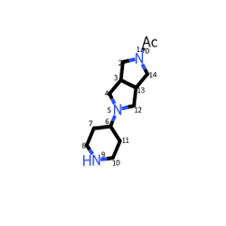 CC(=O)N1CC2CN(C3CCNCC3)CC2C1